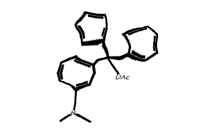 CC(=O)OC(c1ccccc1)(c1ccccc1)c1cccc(N(C)C)c1